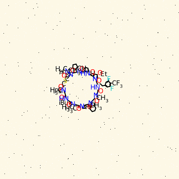 CCO[C@@H]1C[C@H]2C(=O)NC3(CCCC3)C(=O)N(C)[C@@H](C3CCCC3)C(=O)N(C)[C@H](C(=O)N(C)C)CSCC(=O)N(C)[C@@H](CC(C)C)C(=O)N[C@@H]([C@@H](C)CC)C(=O)N(C)[C@@H](C)C(=O)N3CC[C@H]3C(=O)N(C)[C@@H](CC3CCCCC3)C(=O)N(C)CC(=O)N[C@@H](CCc3cc(F)c(C(F)(F)F)c(F)c3)C(=O)N2C1